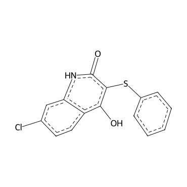 O=c1[nH]c2cc(Cl)ccc2c(O)c1Sc1ccccc1